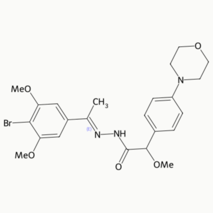 COc1cc(/C(C)=N/NC(=O)C(OC)c2ccc(N3CCOCC3)cc2)cc(OC)c1Br